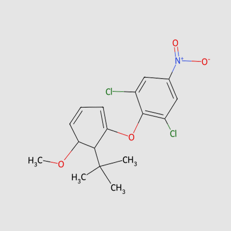 COC1C=CC=C(Oc2c(Cl)cc([N+](=O)[O-])cc2Cl)C1C(C)(C)C